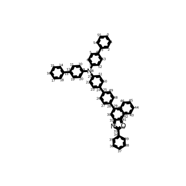 c1ccc(-c2ccc(N(c3ccc(-c4ccccc4)cc3)c3ccc(-c4ccc(-c5cc6nc(-c7ccccc7)oc6c6ccccc56)cc4)cc3)cc2)cc1